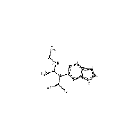 CCNC(C)C(c1ccc2ccsc2c1)C(F)F